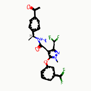 CC(=O)c1ccc([C@H](C)NC(=O)c2c(C(F)F)nn(C)c2Oc2cccc(C(F)F)c2)cc1